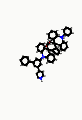 c1ccc(-c2cc(-c3ccncc3)cc(N3c4ccccc4C4(c5ccccc53)c3ccccc3C3(c5ccccc5N(c5ccccc5)c5ccccc53)c3ccccc34)c2)cc1